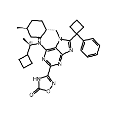 C[C@@H](Nc1nc(-c2noc(=O)[nH]2)nc2nc(C3(c4ccccc4)CCC3)n(C[C@H]3CC[C@H](C)CC3)c12)C1CCC1